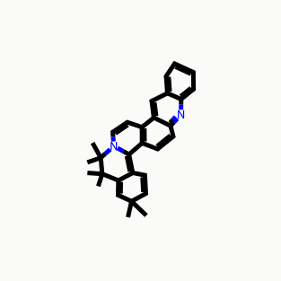 CC1(C)C=CC2=C3c4ccc5nc6ccccc6cc5c4C=CN3C(C)(C)C(C)(C)C2=C1